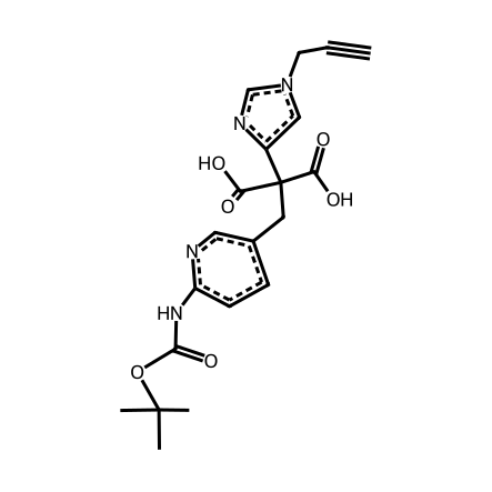 C#CCn1cnc(C(Cc2ccc(NC(=O)OC(C)(C)C)nc2)(C(=O)O)C(=O)O)c1